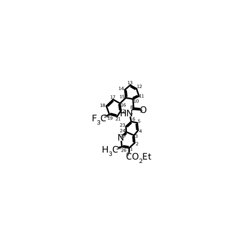 CCOC(=O)c1cc2ccc(NC(=O)c3ccccc3-c3ccc(C(F)(F)F)cc3)cc2nc1C